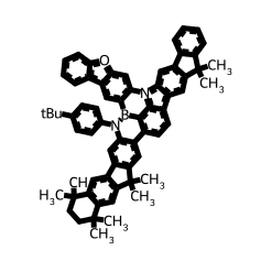 CC(C)(C)c1ccc(N2B3c4cc5c(cc4-n4c6cc7c(cc6c6ccc(c3c64)-c3cc4c(cc32)-c2cc3c(cc2C4(C)C)C(C)(C)CCC3(C)C)C(C)(C)c2ccccc2-7)oc2ccccc25)cc1